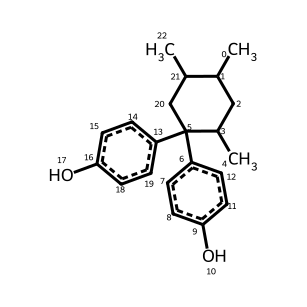 CC1CC(C)C(c2ccc(O)cc2)(c2ccc(O)cc2)CC1C